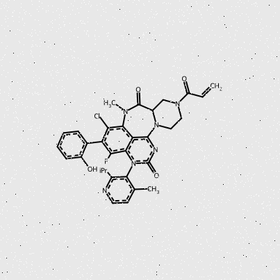 C=CC(=O)N1CCN2c3nc(=O)n(-c4c(C)ccnc4C(C)C)c4c(F)c(-c5ccccc5O)c(Cl)c(c34)N(C)C(=O)C2C1